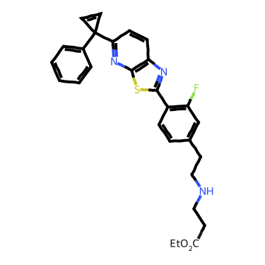 CCOC(=O)CCNCCc1ccc(-c2nc3ccc(C4(c5ccccc5)C=C4)nc3s2)c(F)c1